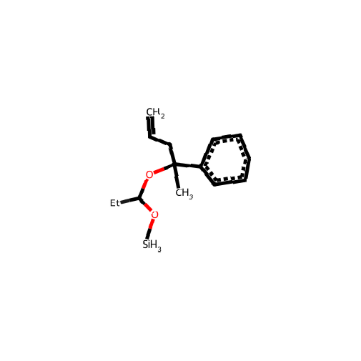 C=CCC(C)(OC(CC)O[SiH3])c1ccccc1